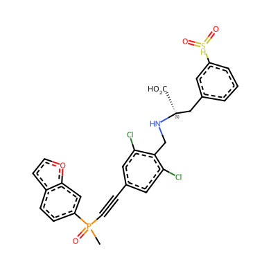 CP(=O)(C#Cc1cc(Cl)c(CN[C@@H](Cc2cccc([SH](=O)=O)c2)C(=O)O)c(Cl)c1)c1ccc2ccoc2c1